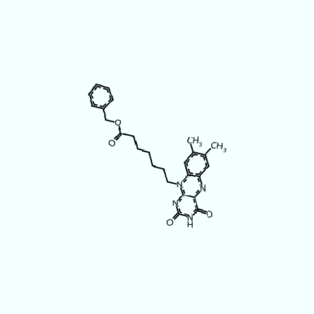 Cc1cc2nc3c(=O)[nH]c(=O)nc-3n(CCCCCCC(=O)OCc3ccccc3)c2cc1C